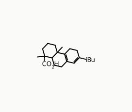 CCC(C)C1=CC2=C(CC1)C1(C)CCCC(C)(C(=O)O)C1CC2